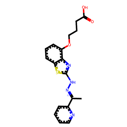 C/C(=N\Nc1nc2c(OCCCC(=O)O)cccc2s1)c1ccccn1